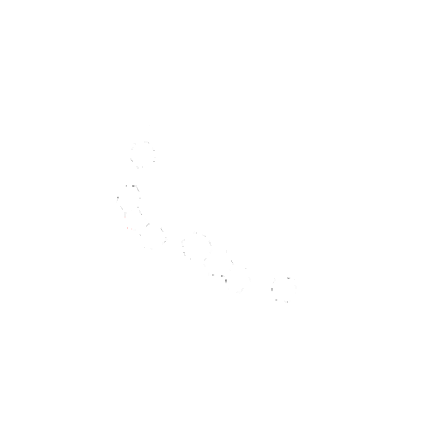 Cc1c2ccc(-c3cc(C(C)C)c(C(C)C)cc3C(C)C)cc2c(C)c2ccc(-c3ccc4oc5ccc(-c6ccc(C(C)(C)C)cc6)cc5c4c3)cc12